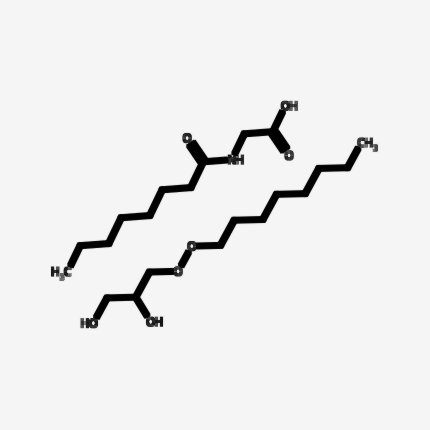 CCCCCCCC(=O)NCC(=O)O.CCCCCCCCOOCC(O)CO